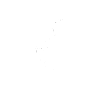 CCCCC(CC)COCCCCCCCCN